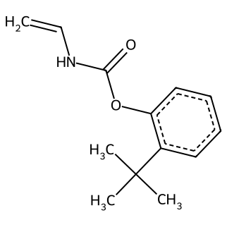 C=CNC(=O)Oc1ccccc1C(C)(C)C